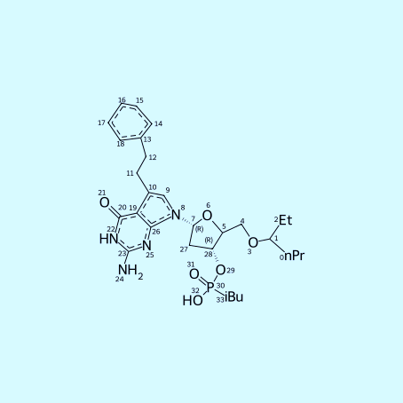 CCCC(CC)OCC1O[C@@H](n2cc(CCc3ccccc3)c3c(=O)[nH]c(N)nc32)C[C@H]1OP(=O)(O)C(C)CC